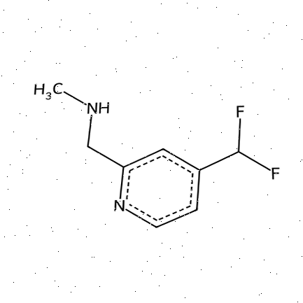 CNCc1cc(C(F)F)ccn1